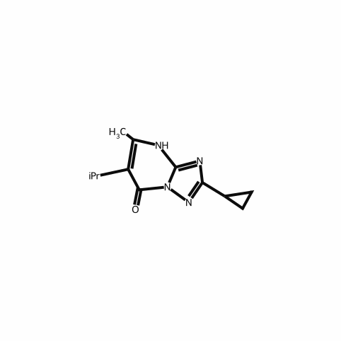 Cc1[nH]c2nc(C3CC3)nn2c(=O)c1C(C)C